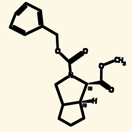 COC(=O)[C@@H]1[C@H]2CCCC2CN1C(=O)OCc1ccccc1